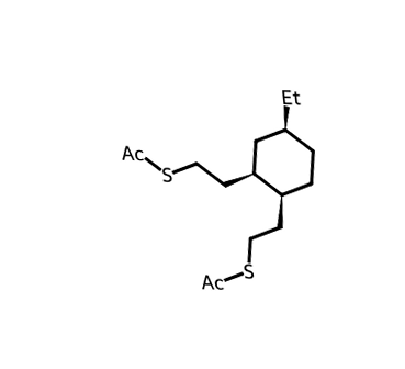 [CH2]C[C@H]1CC[C@@H](CCSC(C)=O)[C@@H](CCSC(C)=O)C1